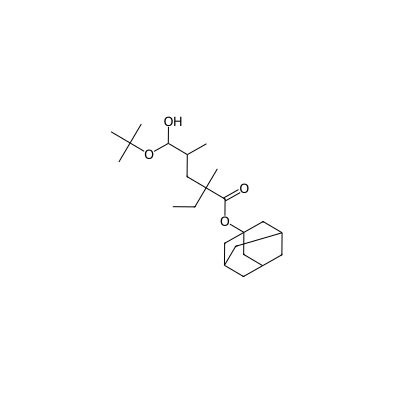 CCC(C)(CC(C)C(O)OC(C)(C)C)C(=O)OC12CC3CC(CC(C3)C1)C2